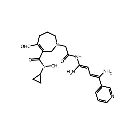 CN(C(=O)C1=C(C=O)CCCN(CC(=O)N/C(N)=C/C=C(\N)c2cccnc2)C1)C1CC1